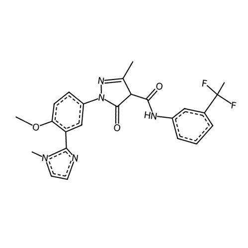 COc1ccc(N2N=C(C)C(C(=O)Nc3cccc(C(C)(F)F)c3)C2=O)cc1-c1nccn1C